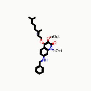 CCCCCCCCOc1c(OC/C=C(\C)CCC=C(C)C)c2ccc(NCc3ccccc3)cc2n(CCCCCCCC)c1=O